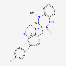 CCCN1C(=S)C(Cc2ccc(-c3ccc(Cl)cc3)cc2)(N2CCNCC2)C(=S)Nc2ccccc21